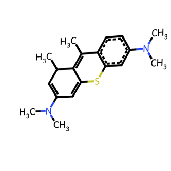 CC1=C2C(=CC(N(C)C)=CC2C)Sc2cc(N(C)C)ccc21